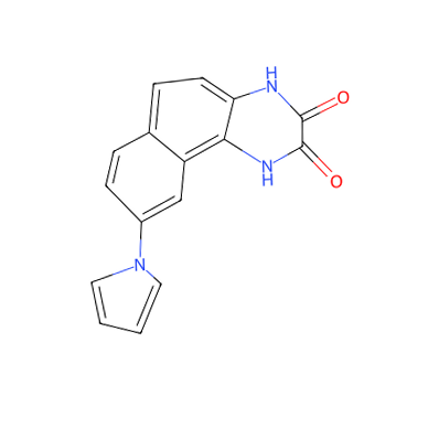 O=c1[nH]c2ccc3ccc(-n4cccc4)cc3c2[nH]c1=O